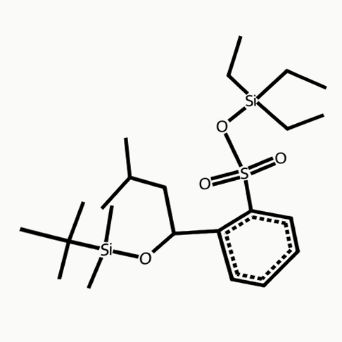 CC[Si](CC)(CC)OS(=O)(=O)c1ccccc1C(CC(C)C)O[Si](C)(C)C(C)(C)C